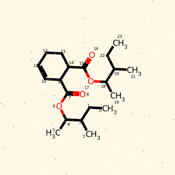 CCC(C)C(C)OC(=O)C1C=CCCC1C(=O)OC(C)C(C)CC